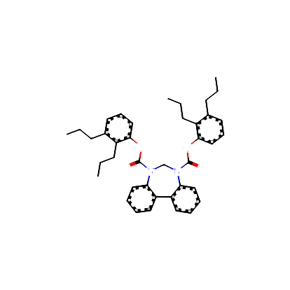 CCCc1cccc(OC(=O)N2CN(C(=O)Oc3cccc(CCC)c3CCC)c3ccccc3-c3ccccc32)c1CCC